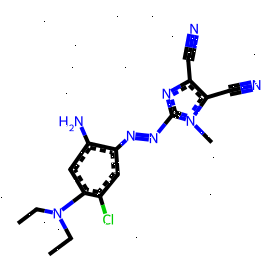 CCN(CC)c1cc(N)c(N=Nc2nc(C#N)c(C#N)n2C)cc1Cl